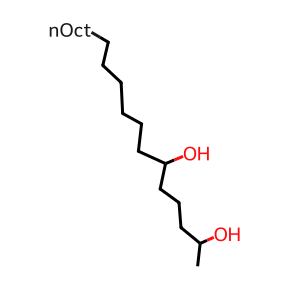 CCCCCCCCCCCCCCC(O)CCCC(C)O